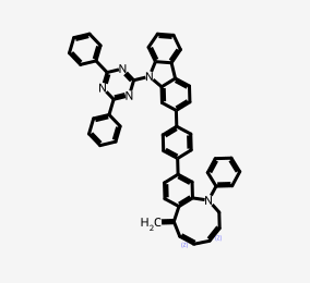 C=C1/C=C\C=C/CN(c2ccccc2)c2cc(-c3ccc(-c4ccc5c6ccccc6n(-c6nc(-c7ccccc7)nc(-c7ccccc7)n6)c5c4)cc3)ccc21